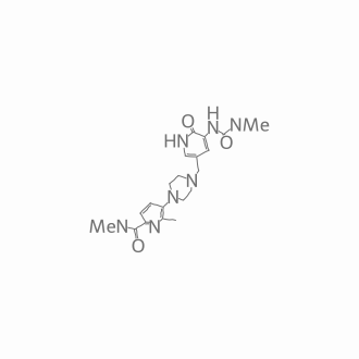 CNC(=O)Nc1cc(CN2CCN(c3ccc(C(=O)NC)nc3C)CC2)c[nH]c1=O